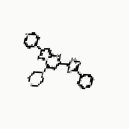 c1ccc(-c2nc(-c3cc(N4CCOCC4)n4nc(-c5ccncc5)cc4n3)ns2)cc1